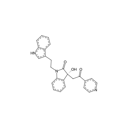 O=C(C[C@]1(O)C(=O)N(CCc2c[nH]c3ccccc23)c2ccccc21)c1ccncc1